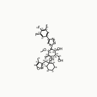 CO[C@@H]1[C@@H](n2cc(-c3cc(F)c(F)c(F)c3)nn2)[C@@H](O)[C@@H](CO)O[C@H]1S[C@@H](c1nocc1C)C1(O)CCCCC1